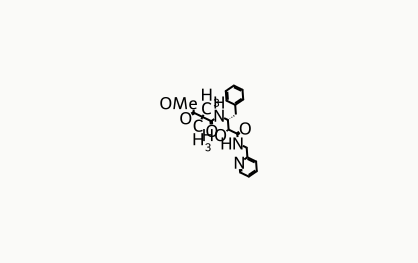 COC(=O)C(C)(C)C(=O)N[C@H](Cc1ccccc1)[C@H](O)C(=O)NCc1ccccn1